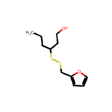 CCCC(CCO)SSCc1ccco1